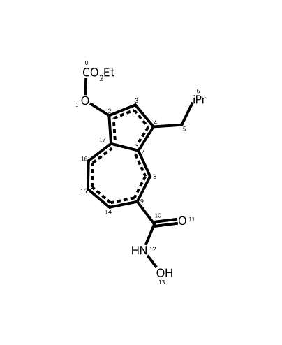 CCOC(=O)Oc1cc(CC(C)C)c2cc(C(=O)NO)cccc1-2